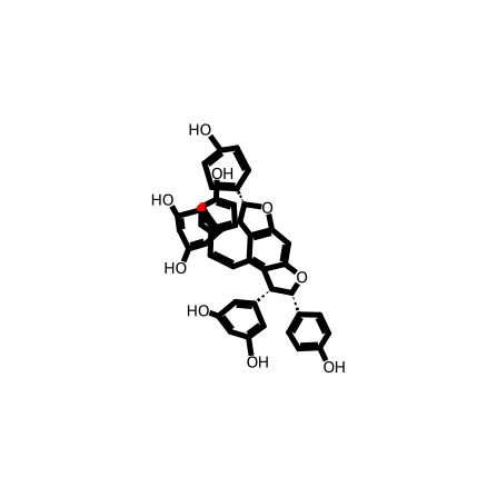 Oc1ccc(/C=C\c2c3c(cc4c2[C@@H](c2cc(O)cc(O)c2)[C@H](c2ccc(O)cc2)O4)O[C@H](c2ccc(O)cc2)[C@@H]3c2cc(O)cc(O)c2)cc1